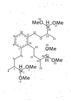 CO[SiH](OC)C(C)CCc1cccc(CCC(C)[SiH](OC)OC)c1CCC(C)[SiH](OC)OC